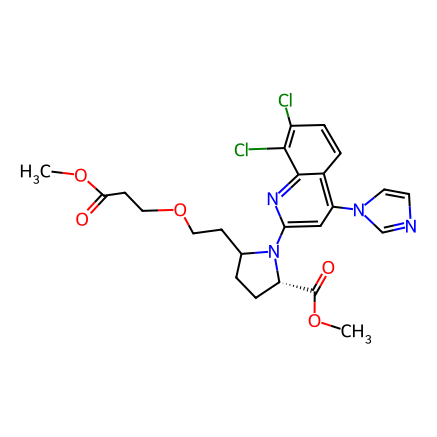 COC(=O)CCOCCC1CC[C@@H](C(=O)OC)N1c1cc(-n2ccnc2)c2ccc(Cl)c(Cl)c2n1